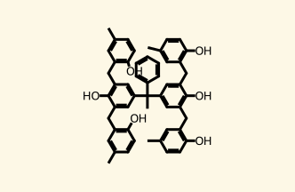 Cc1ccc(O)c(Cc2cc(C(C)(c3ccccc3)c3cc(Cc4cc(C)ccc4O)c(O)c(Cc4cc(C)ccc4O)c3)cc(Cc3cc(C)ccc3O)c2O)c1